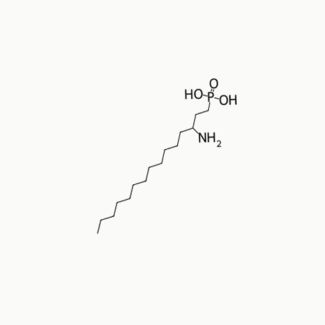 CCCCCCCCCCCCC(N)CCP(=O)(O)O